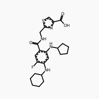 O=C(O)c1csc(CNC(=O)c2cc(F)c(NC3CCCCC3)cc2NC2CCCC2)n1